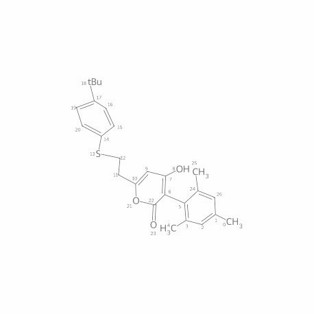 Cc1cc(C)c(-c2c(O)cc(CCSc3ccc(C(C)(C)C)cc3)oc2=O)c(C)c1